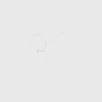 C/C=N/c1ccccc1SCN